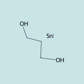 OCCCO.[Sn]